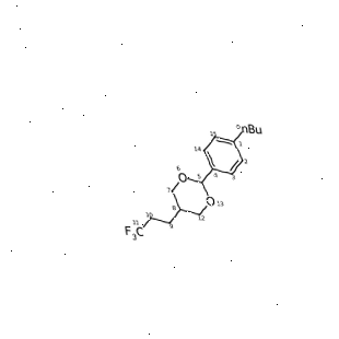 CCCCc1ccc(C2OCC(CCC(F)(F)F)CO2)cc1